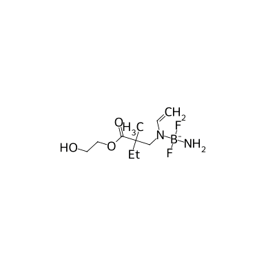 C=CN(CC(C)(CC)C(=O)OCCO)[B-](N)(F)F